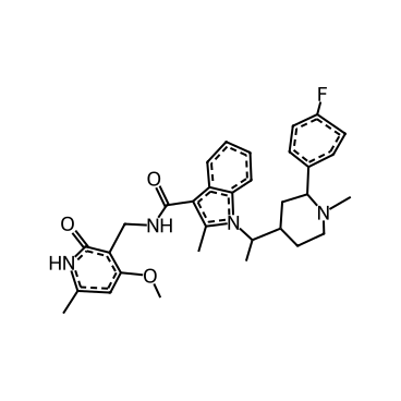 COc1cc(C)[nH]c(=O)c1CNC(=O)c1c(C)n(C(C)C2CCN(C)C(c3ccc(F)cc3)C2)c2ccccc12